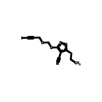 CCSc1snc(OCOCC#CI)c1C#N